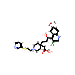 COc1ccc2ncc(Cl)c([C@H](O)CCC3(CC(=O)O)CCN(CCSc4cccnc4)CC3)c2c1